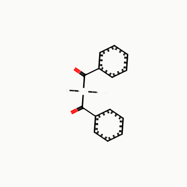 CC[CH2][Ge]([CH2]CC)([C](=O)c1ccccc1)[C](=O)c1ccccc1